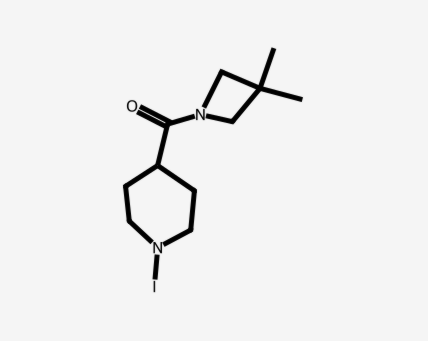 CC1(C)CN(C(=O)C2CCN(I)CC2)C1